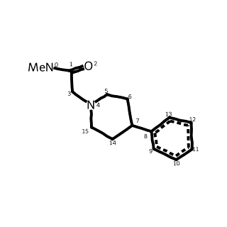 CNC(=O)CN1CCC(c2ccccc2)CC1